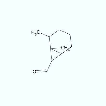 CC1CCCC2C(C=O)C12C